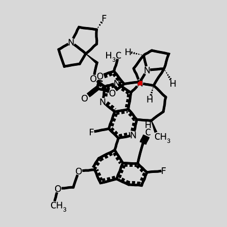 C#Cc1c(F)ccc2cc(OCOC)cc(-c3nc4c5c(nc(OC[C@@]67CCCN6C[C@H](F)C7)nc5c3F)N3C[C@H]5CC[C@@H]([C@H]3CC[C@H]4C)N5Cc3oc(=O)oc3C)c12